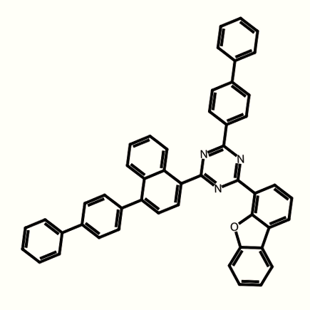 c1ccc(-c2ccc(-c3nc(-c4ccc(-c5ccc(-c6ccccc6)cc5)c5ccccc45)nc(-c4cccc5c4oc4ccccc45)n3)cc2)cc1